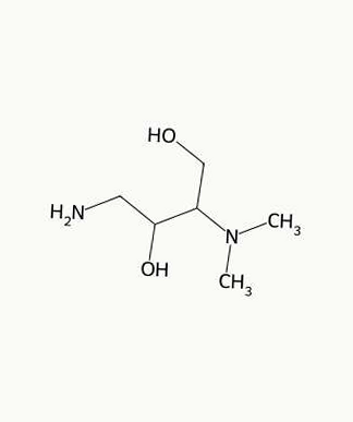 CN(C)C(CO)C(O)CN